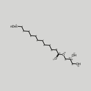 CCCCCCCCCCCCCCCCCCCCCC(=O)OC[C@H](O)CO